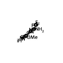 CO[C@H]1CN(c2nc(C(C)C)no2)CC[C@H]1COc1cnc(N2C[C@H](c3cc(F)c(F)cc3F)[C@@H](N)C2)nc1